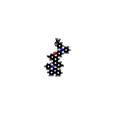 Cc1ccc2c(N(c3ccccc3)c3cc4ccccc4c4ccccc34)cc3c4cc(C)cc5c4c(cc3c2c1)-c1ccc(N(c2ccccc2)c2ccc([Si](C)(C)C)cc2)cc1O5